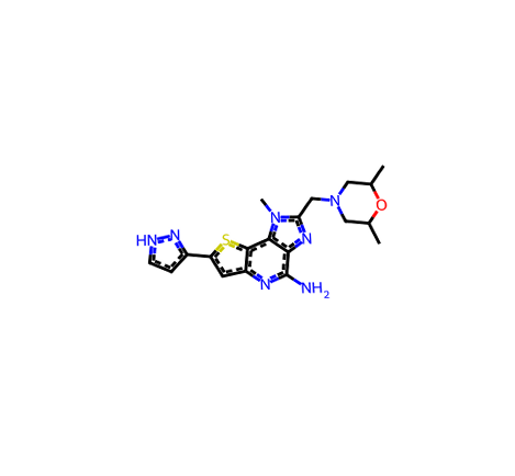 CC1CN(Cc2nc3c(N)nc4cc(-c5cc[nH]n5)sc4c3n2C)CC(C)O1